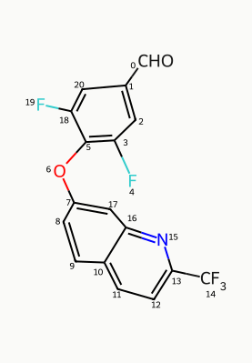 O=Cc1cc(F)c(Oc2ccc3ccc(C(F)(F)F)nc3c2)c(F)c1